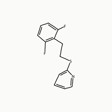 Fc1cccc(F)c1CCSc1ccccn1